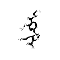 CCCc1c(C(=O)O)nnn1-c1ccc(C(=O)NCC)c(OC)c1